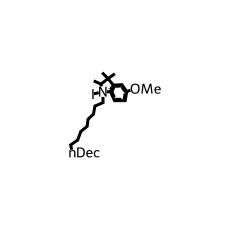 CCCCCCCCCCCCCCCCCC[N+]1(I)c2ccc(OC)cc2C(C)(C)C1C